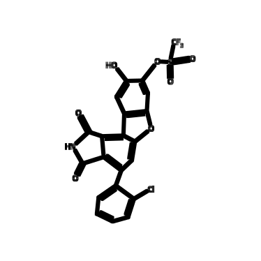 O=C1NC(=O)c2c1c(-c1ccccc1Cl)cc1oc3cc(OS(=O)(=O)C(F)(F)F)c(O)cc3c21